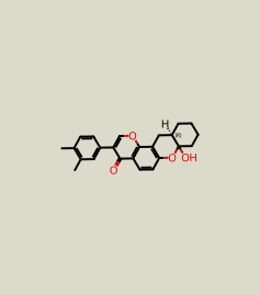 Cc1ccc(-c2coc3c4c(ccc3c2=O)OC2(O)CCCC[C@@H]2C4)cc1C